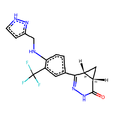 O=C1NN=C(c2ccc(NCc3cc[nH]n3)c(C(F)(F)F)c2)[C@@H]2C[C@H]12